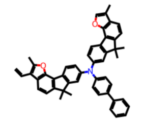 C=Cc1c(C)oc2c3c(ccc12)C(C)(C)c1cc(N(c2ccc(-c4ccccc4)cc2)c2ccc4c(c2)C(C)(C)c2ccc5c(C)coc5c2-4)ccc1-3